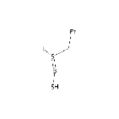 CCCS(I)=BS